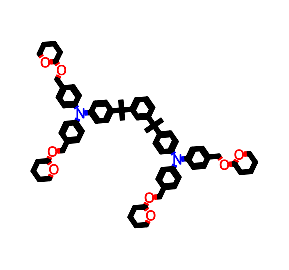 CC(C)(c1ccc(N(c2ccc(COC3CCCCO3)cc2)c2ccc(COC3CCCCO3)cc2)cc1)c1cccc(C(C)(C)c2ccc(N(c3ccc(COC4CCCCO4)cc3)c3ccc(COC4CCCCO4)cc3)cc2)c1